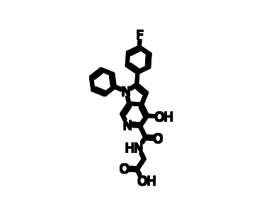 O=C(O)CNC(=O)c1ncc2c(cc(-c3ccc(F)cc3)n2-c2ccccc2)c1O